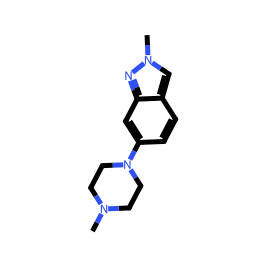 CN1CCN(c2ccc3cn(C)nc3c2)CC1